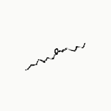 [CH2]CCCCCCOCCCCCC